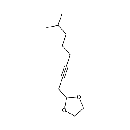 CC(C)CCCC#CCC1OCCO1